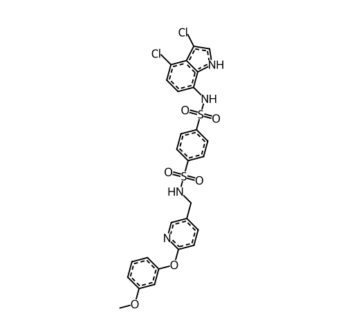 COc1cccc(Oc2ccc(CNS(=O)(=O)c3ccc(S(=O)(=O)Nc4ccc(Cl)c5c(Cl)c[nH]c45)cc3)cn2)c1